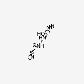 [N-]=[N+]=Nc1ccc(CNCCCCNC(=O)CCSSc2ccccn2)c(O)c1